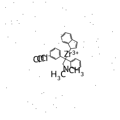 CN(C)C[C]([Zr+3][CH]1C=Cc2ccccc21)(c1ccccc1)c1ccccc1.[Cl-].[Cl-].[Cl-]